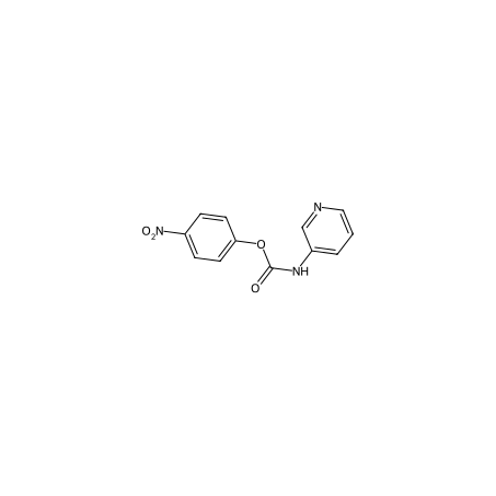 O=C(Nc1cccnc1)Oc1ccc([N+](=O)[O-])cc1